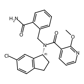 COc1ncccc1C(=O)N(Cc1ccccc1C(N)=O)[C@@H]1CCc2ccc(Cl)cc21